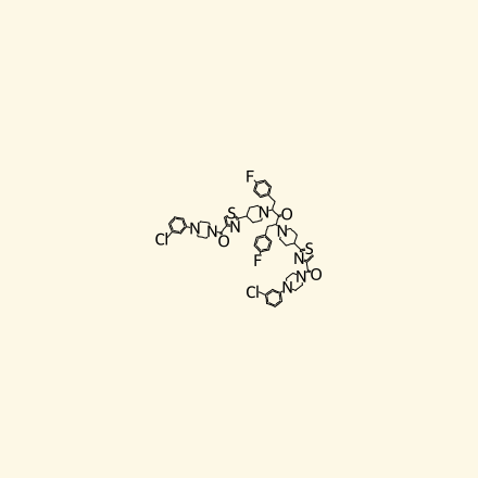 O=C(C(Cc1ccc(F)cc1)N1CCC(c2nc(C(=O)N3CCN(c4cccc(Cl)c4)CC3)cs2)CC1)C(Cc1ccc(F)cc1)N1CCC(c2nc(C(=O)N3CCN(c4cccc(Cl)c4)CC3)cs2)CC1